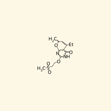 C=C1C=C(CC)c2c(nc(OCCS(C)(=O)=O)[nH]c2=O)O1